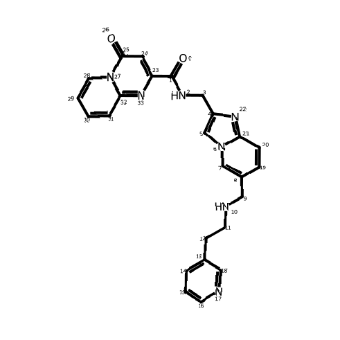 O=C(NCc1cn2cc(CNCCc3cccnc3)ccc2n1)c1cc(=O)n2ccccc2n1